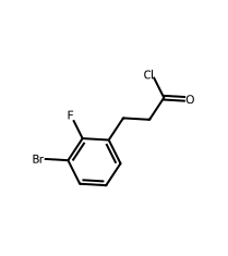 O=C(Cl)CCc1cccc(Br)c1F